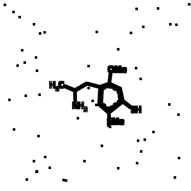 COc1cc(S)c(SC)cc1CC(C)N